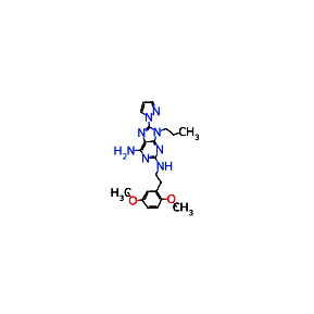 CCCn1c(-n2cccn2)nc2c(N)nc(NCCc3cc(OC)ccc3OC)nc21